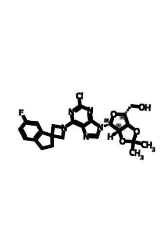 CC1(C)OC2[C@@H](CO)O[C@@H](n3cnc4c(N5CC6(CCc7ccc(F)cc76)C5)nc(Cl)nc43)[C@H]2O1